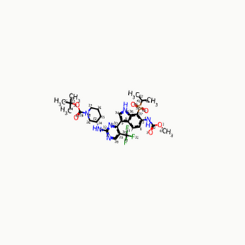 COC(=O)Nc1ccc2c(-c3nc(N[C@H]4CCCN(C(=O)OC(C)(C)C)C4)ncc3C(F)(F)F)c[nH]c2c1S(=O)(=O)C(C)C